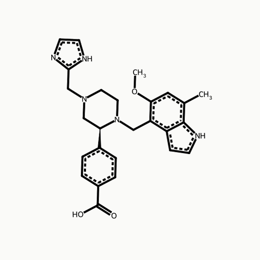 COc1cc(C)c2[nH]ccc2c1CN1CCN(Cc2ncc[nH]2)C[C@@H]1c1ccc(C(=O)O)cc1